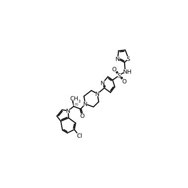 C[C@@H](C(=O)N1CCN(c2ccc(S(=O)(=O)Nc3nccs3)cn2)CC1)n1ccc2ccc(Cl)cc21